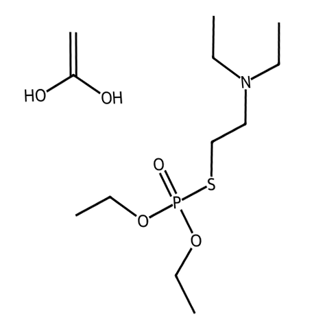 C=C(O)O.CCOP(=O)(OCC)SCCN(CC)CC